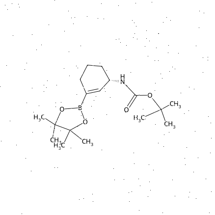 CC(C)(C)OC(=O)N[C@@H]1C=C(B2OC(C)(C)C(C)(C)O2)CCC1